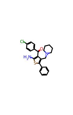 Nc1sc(-c2ccccc2)c(CN2CCCCC2)c1C(=O)c1ccc(Cl)cc1